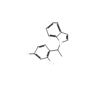 CC(c1ccc(F)cc1Cl)n1ccc2ccccc21